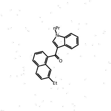 CCCn1cc(C(=O)c2cccc3ccc(CC)cc23)c2ccccc21